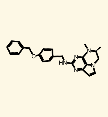 C[C@H]1Cn2ccc3nc(NCc4ccc(OCc5ccccc5)cc4)nc(c32)N1C